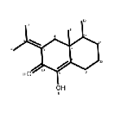 CC(C)=C1CC2(C)C(=C(O)C1=O)CCCC2C